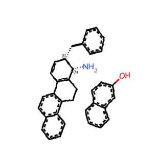 N[C@@H]1C2=C(C=C[C@@H]1Cc1ccccc1)c1ccc3ccccc3c1CC2.Oc1ccc2ccccc2c1